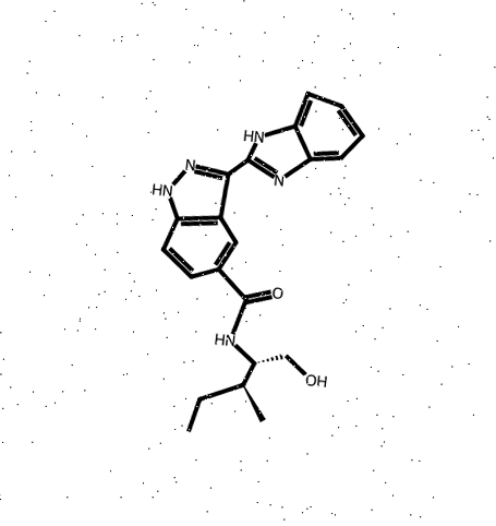 CC[C@H](C)[C@@H](CO)NC(=O)c1ccc2[nH]nc(-c3nc4ccccc4[nH]3)c2c1